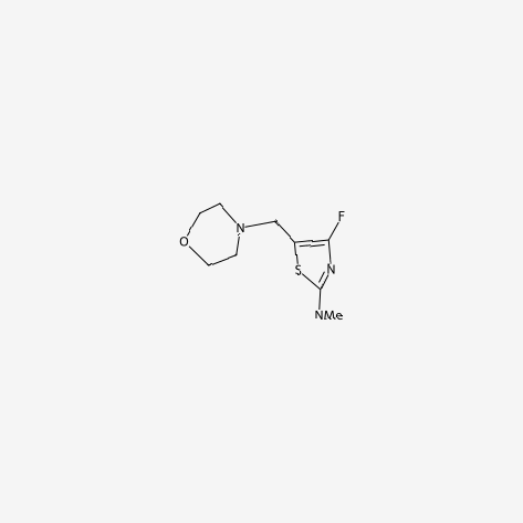 CNc1nc(F)c(CN2CCOCC2)s1